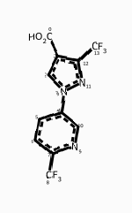 O=C(O)c1cn(-c2ccc(C(F)(F)F)nc2)nc1C(F)(F)F